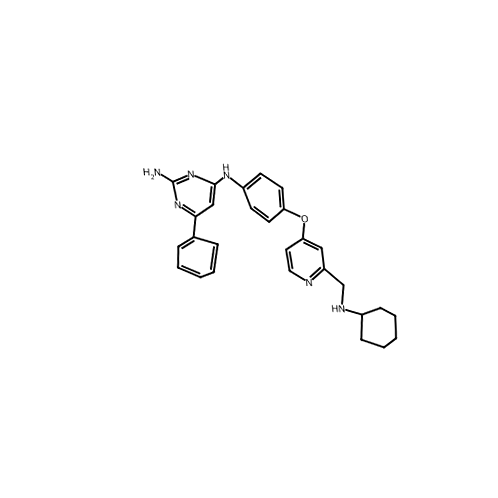 Nc1nc(Nc2ccc(Oc3ccnc(CNC4CCCCC4)c3)cc2)cc(-c2ccccc2)n1